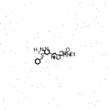 CCNC(=O)N1CC[C@@]2(CCn3nc(-c4cnc(N)c(SCc5ccccc5)c4)cc32)C1